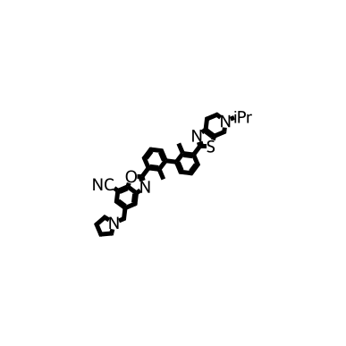 Cc1c(-c2nc3cc(CN4CCCC4)cc(C#N)c3o2)cccc1-c1cccc(-c2nc3c(s2)CN(C(C)C)CC3)c1C